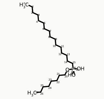 CCCCCCCCCCCCCCCC[PH](O)(O)OCCCCCCCC